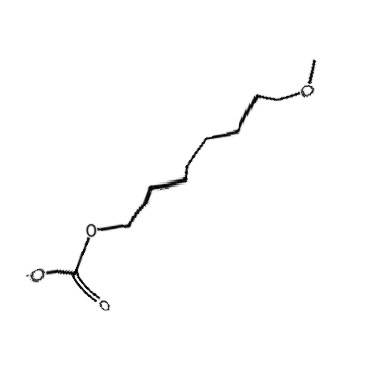 COCCCCCCOC([O])=O